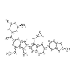 COc1cc(C(=O)N2C[C@H](N)C[C@@H](F)C2)cc2nc(-c3cc4ccc(-c5ccc6c(c5)CC(O)C6)nc4n3CC3CC3)n(C)c12